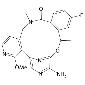 COc1nccc2c1-c1cnc(N)c(n1)OC(C)c1cc(F)ccc1C(=O)N(C)C2